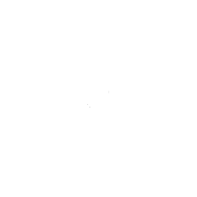 CCCC(=O)OC1CN2CCC(O)C2C(O)C1O